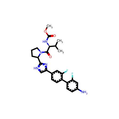 COC(=O)N[C@H](C(=O)N1CCCC1c1nc(-c2ccc(-c3ccc(N)cc3F)c(F)c2)c[nH]1)C(C)C